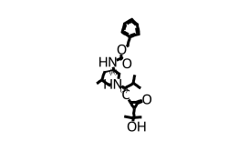 CC(C)C[C@H](CN[C@@H](CC1C(=O)C1C(C)(C)O)C(C)C)NC(=O)OCc1ccccc1